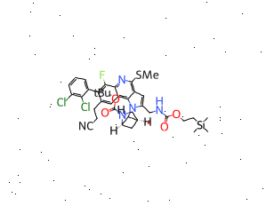 CSc1nc2c(F)c(-c3cccc(Cl)c3Cl)c(CCC#N)cc2c2c1cc([C@@H](C)NC(=O)OCC[Si](C)(C)C)n2[C@H]1[C@@H]2C[C@H]1N(C(=O)OC(C)(C)C)C2